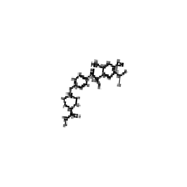 COC(=O)C1CCN(Cc2ccc(NC(=S)c3cc(C(C)C)c(O)cc3O)cc2)CC1